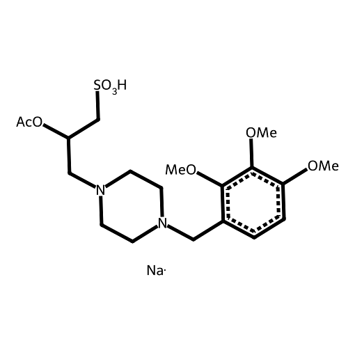 COc1ccc(CN2CCN(CC(CS(=O)(=O)O)OC(C)=O)CC2)c(OC)c1OC.[Na]